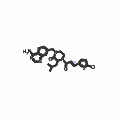 CC(C)CC1C(=O)N(Cc2ccc3c(N)ncnc3c2)CCN1C(=O)/C=C/c1ccc(Cl)s1